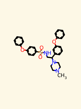 CN1CCN(C(CNS(=O)(=O)c2ccc(Oc3ccccc3)cc2)c2cccc(Oc3ccccc3)c2)CC1